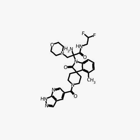 Cc1cccc2c1C1(CCN(C(=O)c3cnc4[nH]ncc4c3)CC1)C(=O)N2C(N)(CN1CCOCC1)C(=O)NCC(F)F